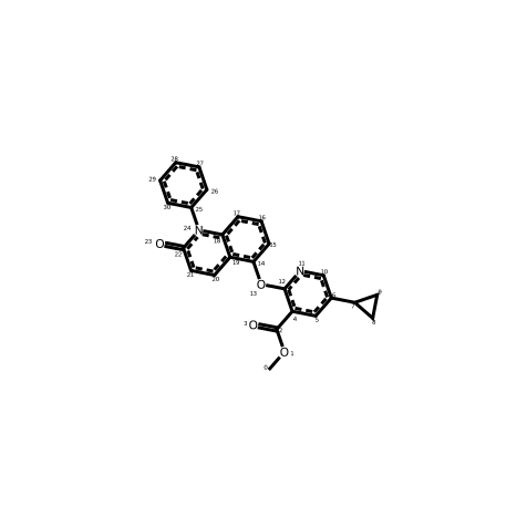 COC(=O)c1cc(C2CC2)cnc1Oc1cccc2c1ccc(=O)n2-c1ccccc1